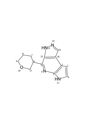 c1cc2c(nc(C3CCCOC3)c3[nH]ncc32)[nH]1